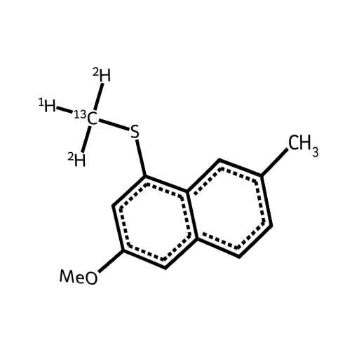 [1H][13C]([2H])([2H])Sc1cc(OC)cc2ccc(C)cc12